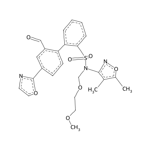 COCCOCN(c1noc(C)c1C)S(=O)(=O)c1ccccc1-c1ccc(-c2ncco2)cc1C=O